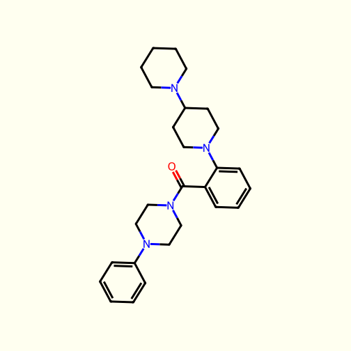 O=C(c1ccccc1N1CCC(N2CCCCC2)CC1)N1CCN(c2ccccc2)CC1